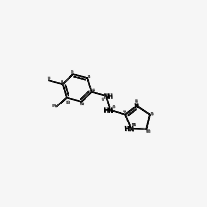 Cc1ccc(NNC2=NCCN2)cc1C